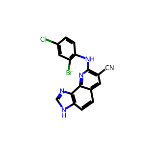 N#Cc1cc2ccc3[nH]cnc3c2nc1Nc1ccc(Cl)cc1Br